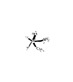 [2H]P([3H])(C)(N)F